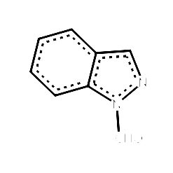 O=Cn1ncc2cc[c]cc21